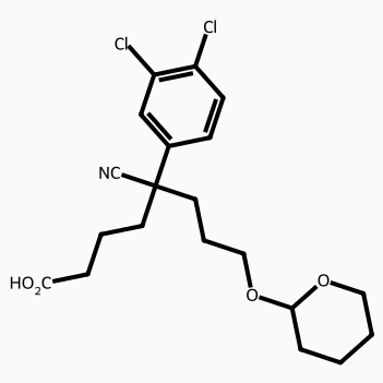 N#CC(CCCOC1CCCCO1)(CCCC(=O)O)c1ccc(Cl)c(Cl)c1